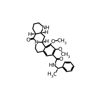 COc1c(C(=O)N[C@H](C)c2ccccc2)cc2c(c1OC)[C@H]1C[C@H]3NCCC[C@H]3C(=O)N1CC2